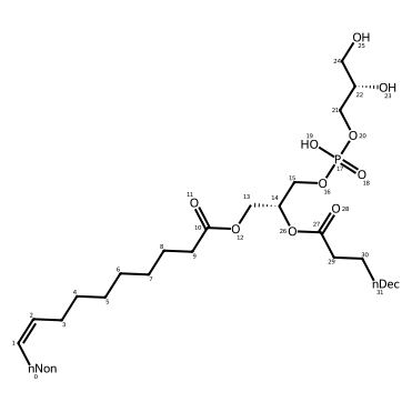 CCCCCCCCC/C=C\CCCCCCCC(=O)OC[C@H](COP(=O)(O)OC[C@@H](O)CO)OC(=O)CCCCCCCCCCCC